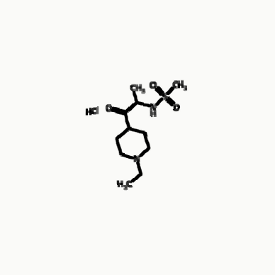 CCN1CCC(C(=O)C(C)NS(C)(=O)=O)CC1.Cl